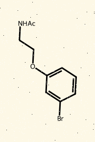 CC(=O)NCCOc1cccc(Br)c1